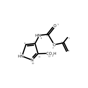 C=C(C)OC(=O)Nc1c[nH]nc1C(=O)O